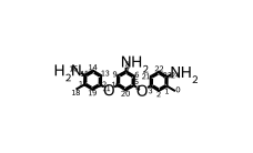 Cc1cc(Oc2cc(N)cc(Oc3ccc(N)c(C)c3)c2)ccc1N